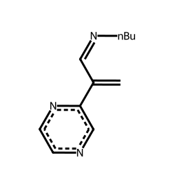 C=C(/C=N\CCCC)c1cnccn1